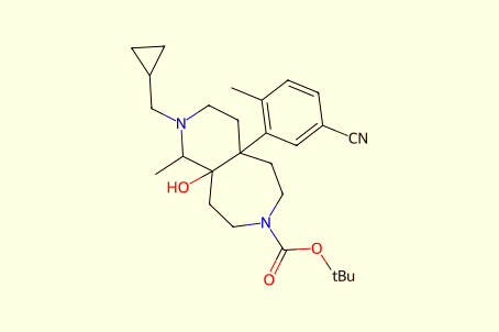 Cc1ccc(C#N)cc1C12CCN(C(=O)OC(C)(C)C)CCC1(O)C(C)N(CC1CC1)CC2